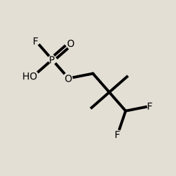 CC(C)(COP(=O)(O)F)C(F)F